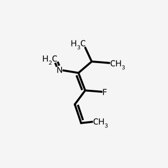 C=N/C(=C(F)\C=C/C)C(C)C